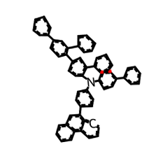 c1ccc(-c2ccc(N(c3ccc(-c4cc5ccccc5c5ccccc45)cc3)c3ccc(-c4ccc(-c5ccccc5)cc4-c4ccccc4)cc3-c3ccccc3)cc2)cc1